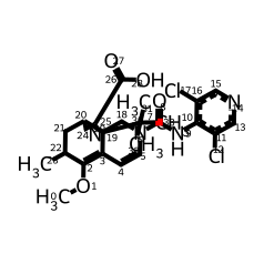 COC1=C2C=CN(C(=O)Nc3c(Cl)cncc3Cl)CC23C(CC1C)CC(C(=O)O)N3C(C)(C)C